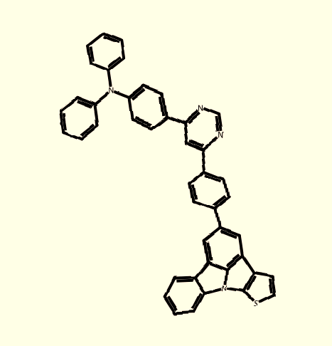 c1ccc(N(c2ccccc2)c2ccc(-c3cc(-c4ccc(-c5cc6c7ccccc7n7c8sccc8c(c5)c67)cc4)ncn3)cc2)cc1